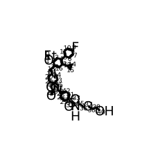 CCOc1cc(-c2ccc(F)cc2)c(C2CC2)cc1CN1CCC2(CC1)CN(c1ccc(S(=O)(=O)NCCOCCO)cc1)C(=O)O2